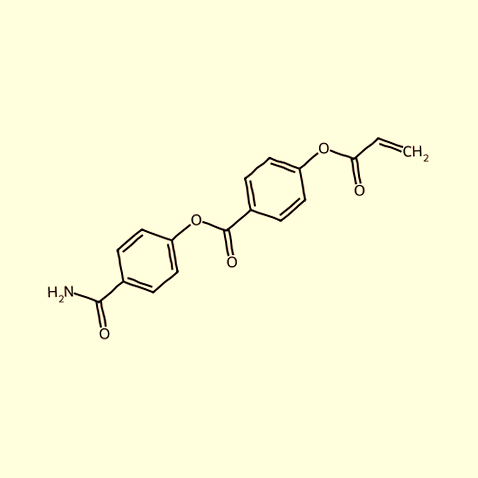 C=CC(=O)Oc1ccc(C(=O)Oc2ccc(C(N)=O)cc2)cc1